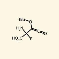 CC(C)(C)OC(=C=O)C(N)(F)C(=O)O